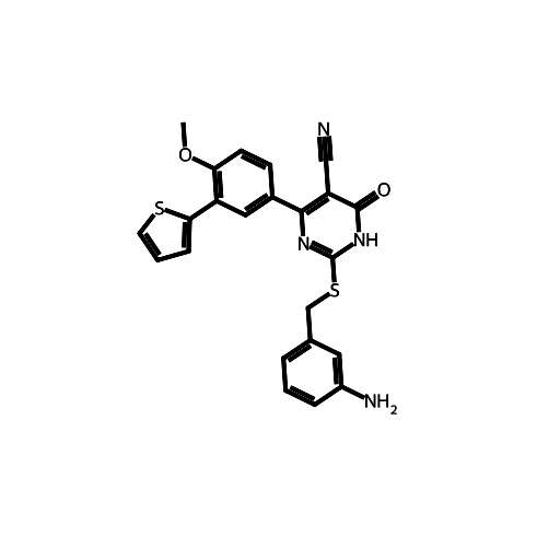 COc1ccc(-c2nc(SCc3cccc(N)c3)[nH]c(=O)c2C#N)cc1-c1cccs1